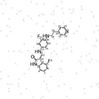 O=C1Nc2cccc(F)c2C1=CNc1ccc(NCCc2ccncc2)c(F)c1